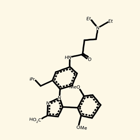 CCN(CC)CCC(=O)Nc1ccc(-n2nc(C(=O)O)cc2-c2c(OC)cccc2OC)c(CC(C)C)c1